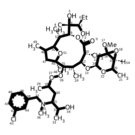 CC[C@@H](O)[C@@](C)(O)[C@@H]1OC(=O)[C@H](C)[C@@H](O[C@H]2CC3(OC)O[C@H]3C(C)O2)[C@H](C)[C@@H](OOC(C)CC(C(C)O)N(C)Cc2cccc(Cl)c2)[C@@]2(C)CC(C)C(O2)[C@@H]1C